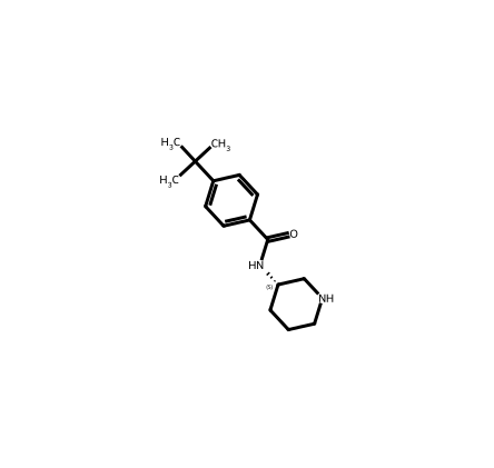 CC(C)(C)c1ccc(C(=O)N[C@H]2CCCNC2)cc1